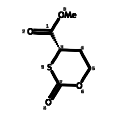 COC(=O)[C@@H]1CCOC(=O)S1